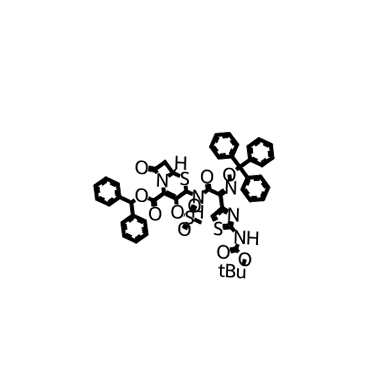 CC(C)(C)OC(=O)Nc1nc(/C(=N/OC(c2ccccc2)(c2ccccc2)c2ccccc2)C(=O)NC2S[C@@H]3CC(=O)N3C(C(=O)OC(c3ccccc3)c3ccccc3)=C2OS(C)(=O)=O)cs1